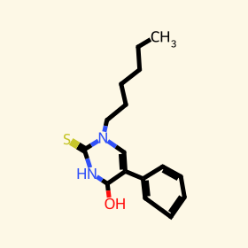 CCCCCCN1C=C(c2ccccc2)C(O)NC1=S